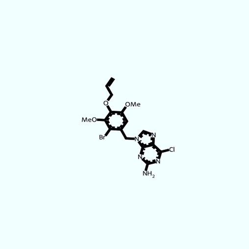 C=CCOc1c(OC)cc(Cn2cnc3c(Cl)nc(N)nc32)c(Br)c1OC